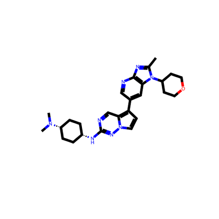 Cc1nc2ncc(-c3ccn4nc(N[C@H]5CC[C@@H](N(C)C)CC5)ncc34)cc2n1C1CCOCC1